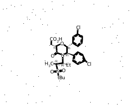 CC[C@H]([C@H](C)S(=O)(=O)C(C)(C)C)N1C(=O)[C@H](CC(=O)O)O[C@H](c2cccc(Cl)c2)[C@H]1c1ccc(Cl)cc1